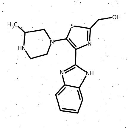 CC1CN(c2sc(CO)nc2-c2nc3ccccc3[nH]2)CCN1